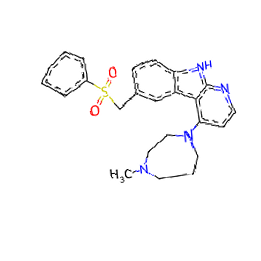 CN1CCCN(c2ccnc3[nH]c4ccc(CS(=O)(=O)c5ccccc5)cc4c23)CC1